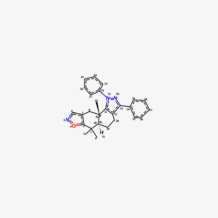 CC1(C)c2oncc2C[C@]2(C)c3c(c(-c4ccccc4)nn3-c3ccccc3)CC[C@@H]12